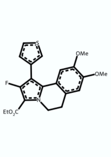 CCOC(=O)c1c(F)c(-c2ccsc2)c2n1CCc1cc(OC)c(OC)cc1-2